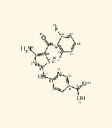 Nc1nc(Nc2ccc(C(=O)O)cn2)sc1C(=O)c1c(F)cccc1F